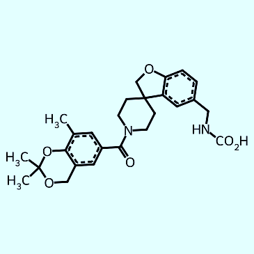 Cc1cc(C(=O)N2CCC3(CC2)COc2ccc(CNC(=O)O)cc23)cc2c1OC(C)(C)OC2